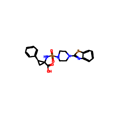 O=C(O)C1(NS(=O)(=O)N2CCN(c3nc4ccccc4s3)CC2)C[C@H]1c1ccccc1